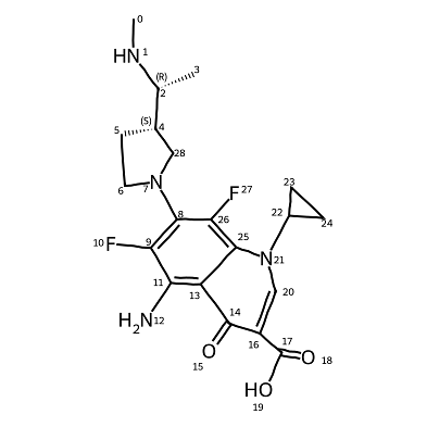 CN[C@H](C)[C@H]1CCN(c2c(F)c(N)c3c(=O)c(C(=O)O)cn(C4CC4)c3c2F)C1